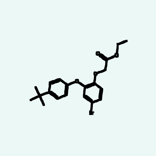 CCOC(=O)COc1ccc(Br)cc1Oc1ccc(C(C)(C)C)cc1